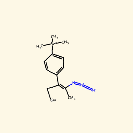 C/C(N=[N+]=[N-])=C(\CC(C)(C)C)c1ccc([Si](C)(C)C)cc1